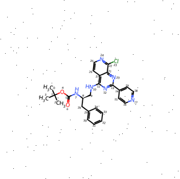 CC(C)(C)OC(=O)N[C@@H](CNc1nc(-c2ccncc2)nc2c(Cl)nccc12)Cc1ccccc1